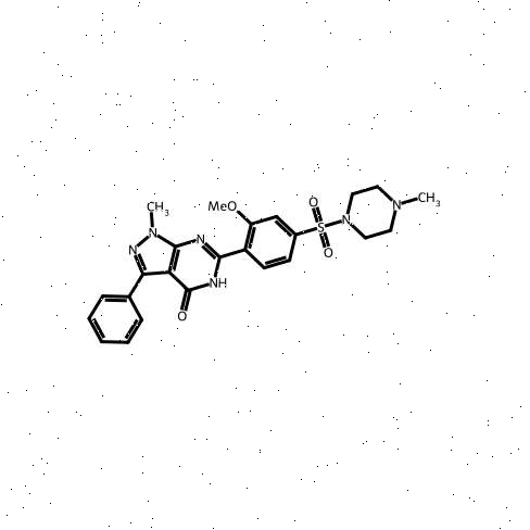 COc1cc(S(=O)(=O)N2CCN(C)CC2)ccc1-c1nc2c(c(-c3ccccc3)nn2C)c(=O)[nH]1